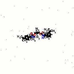 C=C(C)c1ccc(C(C)(C)NC(=O)OCC(C)(C)COC(=O)NC(C)(C)c2cccc(C(=C)C)c2)cc1